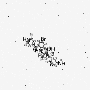 CNC1=CC(C(=O)N2C[C@H](Nc3c(NO)cc(Br)cc3C(=O)N3C[C@@H](C)N[C@@H](C)C3)C(F)(F)C2)C(C)N=C1